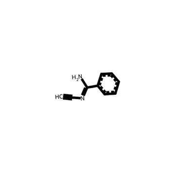 C#CN=C(N)c1ccccc1